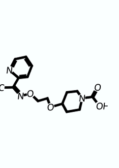 C/C(=N/OCCOC1CCN(C(=O)O)CC1)c1ccccn1